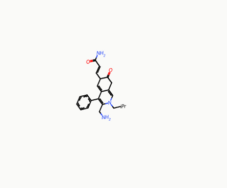 CC(C)CN1C=C2CC(=O)C(/C=C/C(N)=O)C=C2C(c2ccccc2)=C1CN